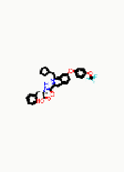 O=C(N[C@@H](Cc1ccccc1)C(=O)O)c1cc2ccc(Oc3ccc(OC(F)(F)F)cc3)cc2c(CC2CCCC2)n1